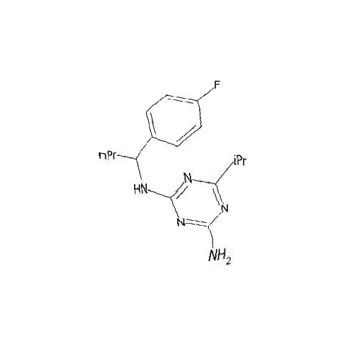 CCCC(Nc1nc(N)nc(C(C)C)n1)c1ccc(F)cc1